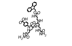 NC(=O)NCCC[C@H](NCCNC(=O)OCC1c2ccccc2-c2ccccc21)C(=O)N[C@@H](CCCNC(N)=O)C(=O)Nc1ccc(C(=O)O)cc1